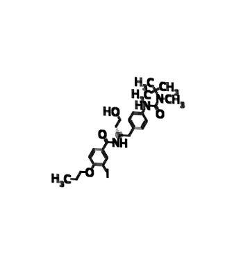 CCCOc1ccc(C(=O)N[C@H](CCO)Cc2ccc(NC(=O)N(C)C(C)(C)C)cc2)cc1I